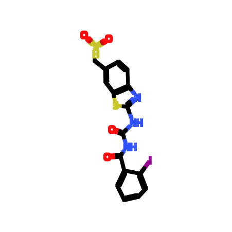 O=C(NC(=O)c1ccccc1I)Nc1nc2ccc(C[SH](=O)=O)cc2s1